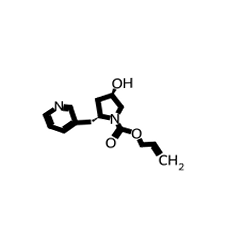 C=CCOC(=O)N1C[C@H](O)C[C@H]1Cc1cccnc1